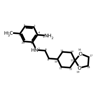 Cc1ccc(N)c(NCCC2CCC3(CC2)OCCO3)c1